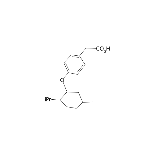 CC1CCC(C(C)C)C(Oc2ccc(CC(=O)O)cc2)C1